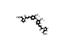 O=C(/C=C/c1ccc(Sc2ccc(/C=C/C(=O)N3CCCC3CO)cc2C(F)(F)F)c(C(F)(F)F)c1)N1CCCC1CO